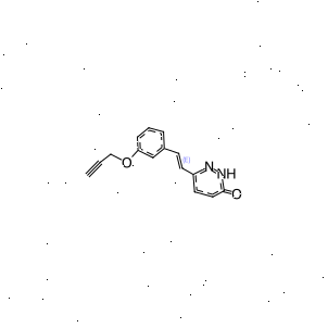 C#CCOc1cccc(/C=C/c2ccc(=O)[nH]n2)c1